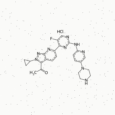 CC(=O)c1c2ccc(-c3nc(Nc4ccc(N5CCNCC5)cn4)ncc3F)nc2nn1C1CC1.Cl